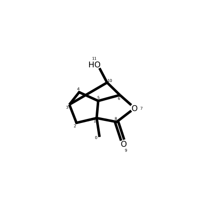 CC12CC3CC1C(OC2=O)C3O